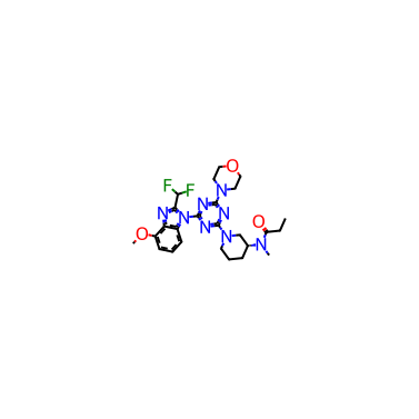 CCC(=O)N(C)[C@H]1CCCN(c2nc(N3CCOCC3)nc(-n3c(C(F)F)nc4c(OC)cccc43)n2)C1